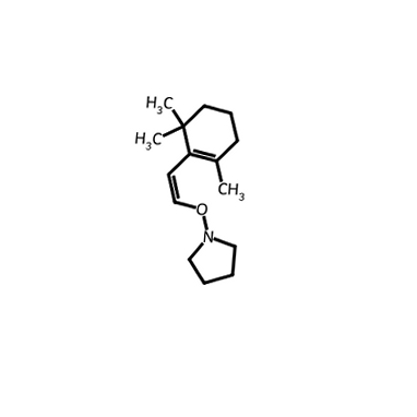 CC1=C(/C=C\ON2CCCC2)C(C)(C)CCC1